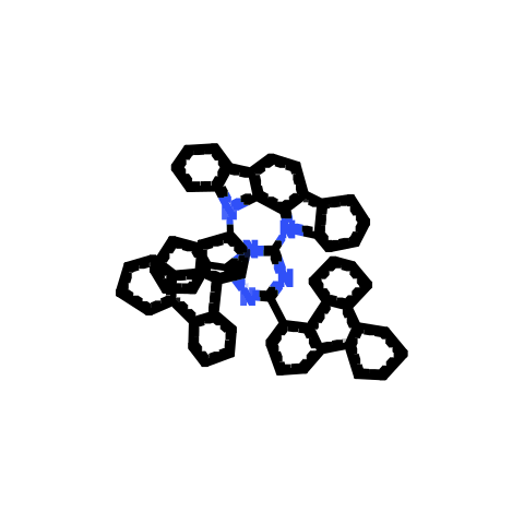 c1ccc(-c2nc(-c3cccc4c5ccccc5c5ccccc5c34)nc(-n3c4ccccc4c4ccc5c6ccccc6n(-c6ccc7c8ccccc8c8ccccc8c7c6)c5c43)n2)cc1